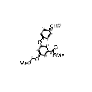 COCOc1cc(Oc2ccc(C=O)cc2)cc(C(=O)OC)c1